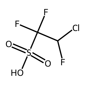 O=S(=O)(O)C(F)(F)C(F)Cl